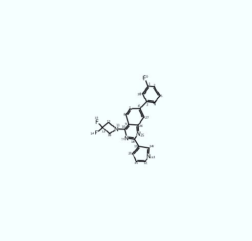 Fc1cccc(-c2ccc3c(N4CC(F)(F)C4)nc(-c4cccnc4)nc3c2)c1